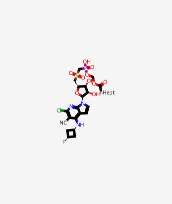 CCCCCCCC(=O)OCOP(=O)(O)CS(=O)(=O)C[C@H]1O[C@@H](n2ccc3c(N[C@H]4C[C@@H](F)C4)c(C#N)c(Cl)nc32)[C@H](O)[C@@H]1O